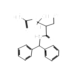 CC(C)CC(C(=O)NC(c1ccccc1)c1ccccc1)C(C)(C)OC(N)=O